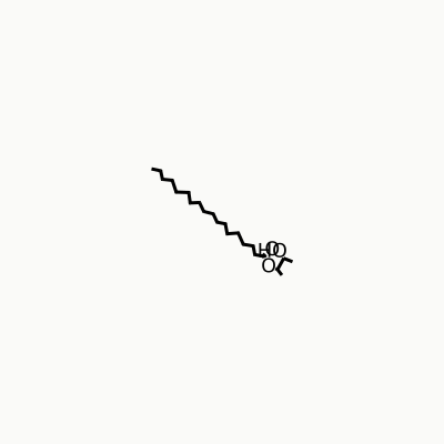 CCCCCCCCCCCCCCCCCC(=O)OC(C)C(C)O